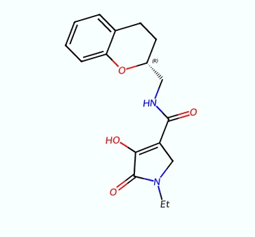 CCN1CC(C(=O)NC[C@H]2CCc3ccccc3O2)=C(O)C1=O